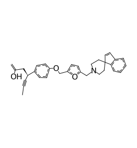 C=C(O)C[C@H](C#CC)c1ccc(OCc2ccc(CN3CCC4(C=Cc5ccccc54)CC3)o2)cc1